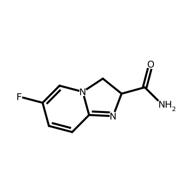 NC(=O)C1CN2C=C(F)C=CC2=N1